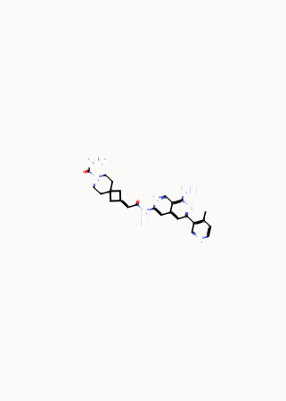 CNC(=O)N1CCC2(CC1)CC(=CC(=O)Nc1cc3cc(-c4cnccc4C)nc(N)c3cn1)C2